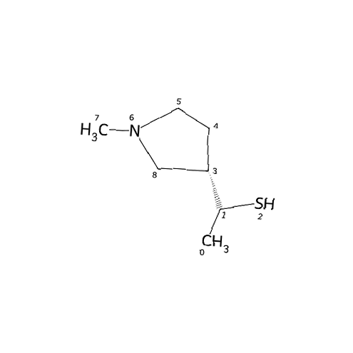 CC(S)[C@H]1CCN(C)C1